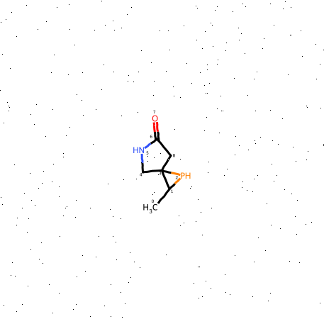 CC1PC12CNC(=O)C2